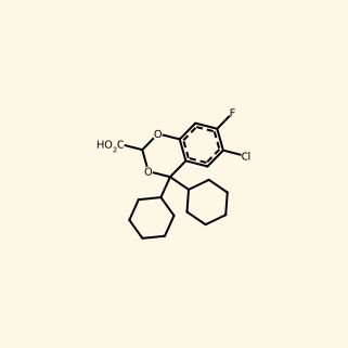 O=C(O)C1Oc2cc(F)c(Cl)cc2C(C2CCCCC2)(C2CCCCC2)O1